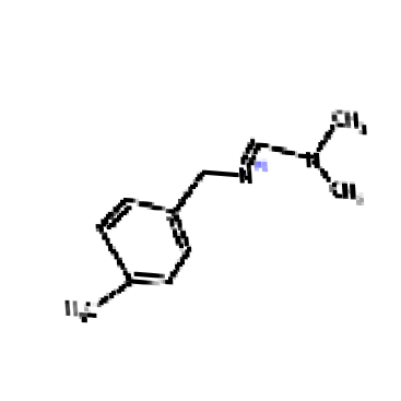 Cc1ccc(C/N=C/N(C)C)cc1